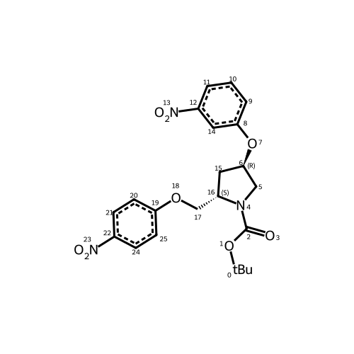 CC(C)(C)OC(=O)N1C[C@H](Oc2cccc([N+](=O)[O-])c2)C[C@H]1COc1ccc([N+](=O)[O-])cc1